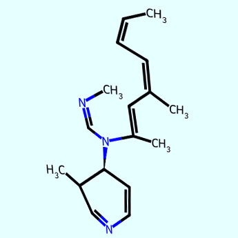 C\C=C/C=C(C)\C=C(/C)N(/C=N\C)[C@H]1C=CN=CC1C